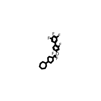 Fc1cc(OC(F)(F)C2CCC(C3CCCCCC3)CC2)ccc1-c1cc(F)c(F)c(F)c1